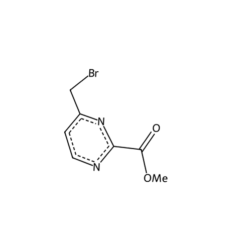 COC(=O)c1nccc(CBr)n1